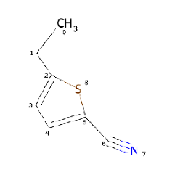 CCc1ccc(C#N)s1